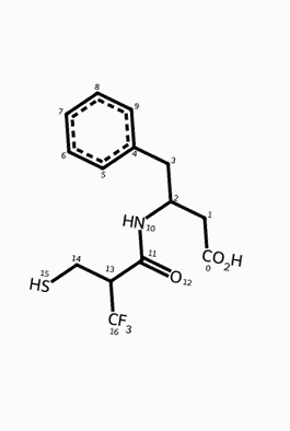 O=C(O)CC(Cc1ccccc1)NC(=O)C(CS)C(F)(F)F